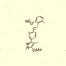 COc1c(C)c(-c2ccc(OCc3c(C)cccc3OC#N)c(C)c2)nn1C